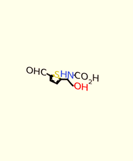 O=Cc1ccc(C(CO)NC(=O)O)s1